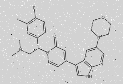 CN(C)CC(c1ccc(F)c(F)c1)n1ccc(-c2c[nH]c3ncc(N4CCOCC4)cc23)cc1=O